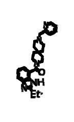 C[CH]c1nc2cccc(C(=O)N3CCC4(CCN(Cc5ccccn5)CC4)CC3)c2[nH]1